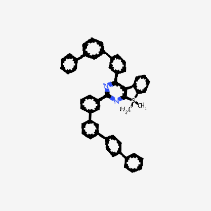 C[Si]1(C)c2ccccc2-c2c(-c3cccc(-c4cccc(-c5ccccc5)c4)c3)nc(-c3cccc(-c4cccc(-c5ccc(-c6ccccc6)cc5)c4)c3)nc21